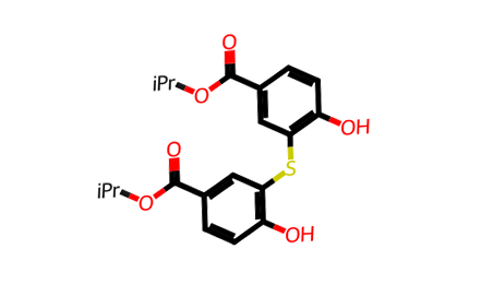 CC(C)OC(=O)c1ccc(O)c(Sc2cc(C(=O)OC(C)C)ccc2O)c1